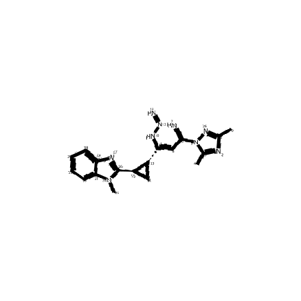 Cc1nc(C)n(C(=N)/C=C(\NN=N)[C@@H]2C[C@H]2c2nc3ccccc3n2C)n1